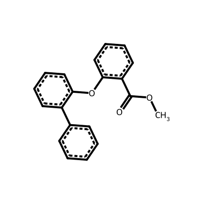 COC(=O)c1ccccc1Oc1ccccc1-c1ccccc1